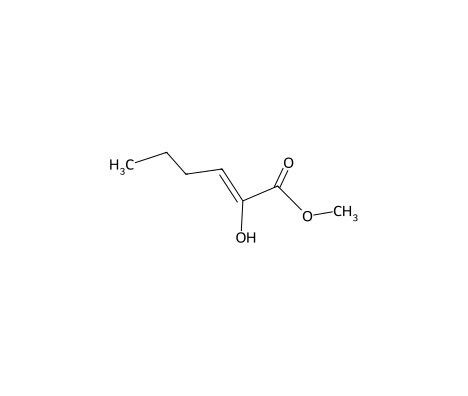 CCCC=C(O)C(=O)OC